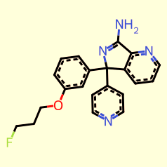 NC1=NC(c2ccncc2)(c2cccc(OCCCF)c2)c2cccnc21